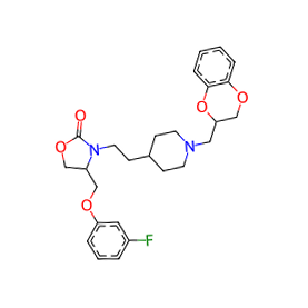 O=C1OCC(COc2cccc(F)c2)N1CCC1CCN(CC2COc3ccccc3O2)CC1